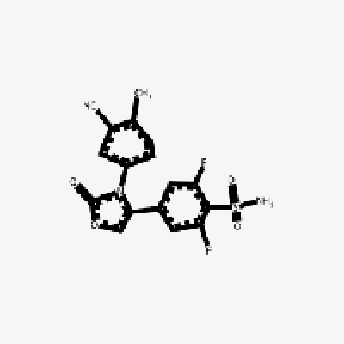 Cc1ccc(-n2c(-c3cc(F)c(S(N)(=O)=O)c(F)c3)coc2=O)cc1C#N